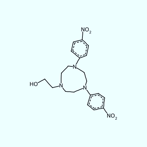 O=[N+]([O-])c1ccc(N2CCN(CCO)CCN(c3ccc([N+](=O)[O-])cc3)CC2)cc1